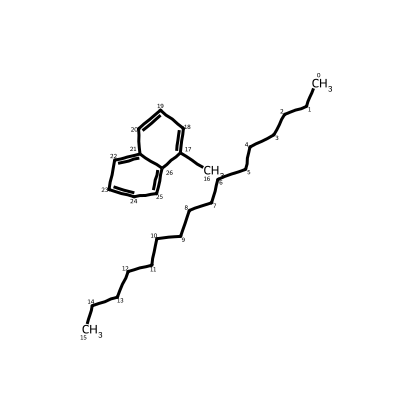 CCCCCCCCCCCCCCCC.Cc1cccc2ccccc12